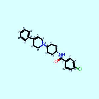 O=C(N[C@H]1CC[C@H](N2CC=C(c3ccccc3)CC2)CC1)c1ccc(Cl)cc1